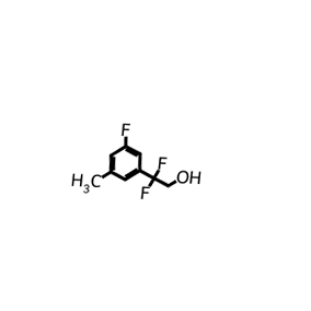 Cc1cc(F)cc(C(F)(F)CO)c1